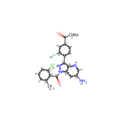 COC(=O)c1ccc(-c2nn(C(=O)c3c(Cl)cccc3C(F)(F)F)c3cc(N)cnc23)c(F)c1